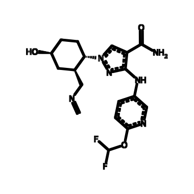 C=NC[C@H]1C[C@@H](O)CC[C@@H]1n1cc(C(N)=O)c(Nc2ccc(OC(F)F)nc2)n1